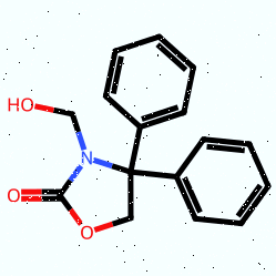 O=C1OCC(c2ccccc2)(c2ccccc2)N1CO